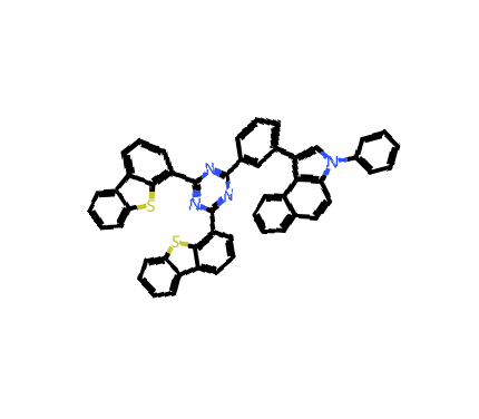 c1ccc(-n2cc(-c3cccc(-c4nc(-c5cccc6c5sc5ccccc56)nc(-c5cccc6c5sc5ccccc56)n4)c3)c3c4ccccc4ccc32)cc1